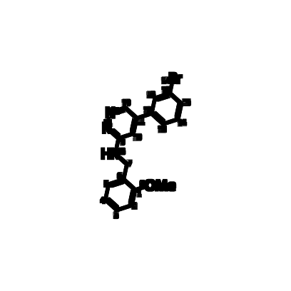 COc1ccccc1CNc1cc(-c2cccc(Br)c2)cnn1